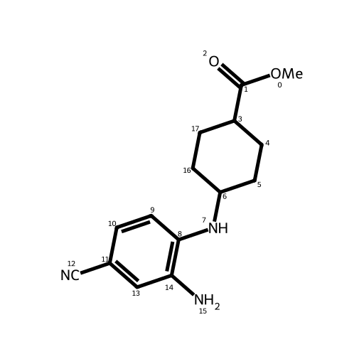 COC(=O)C1CCC(Nc2ccc(C#N)cc2N)CC1